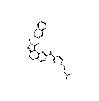 CN(C)CCN/C=C\C(=N)Nc1ncc2c(n1)-c1c(nn(C)c1Cc1ccc3ccccc3c1)CC2